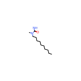 CCCCCCCCCCN(C)C([NH])=O